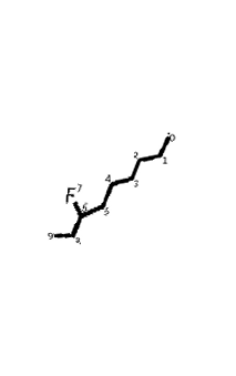 [CH2]CCCCCC(F)CC